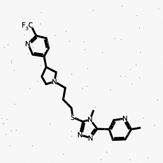 Cc1ccc(-c2nnc(SCCCN3CCC(c4ccc(C(F)(F)F)nc4)C3)n2C)cn1